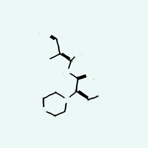 C=C/C(C)=C(\C)SC(=C)/C(=C\C)N1CCNCC1